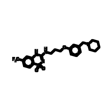 O=S1(=O)N=C(NCCCOc2cccc(CN3CCCCC3)c2)Nc2cc(C(F)(F)F)ccc21